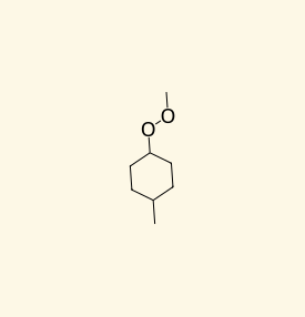 COOC1CCC(C)CC1